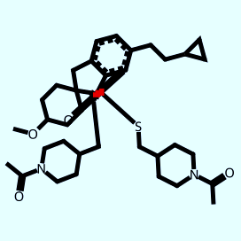 COC1CCC2(CC1)Cc1ccc(CCC3CC3)cc1C21N=C(SCC2CCN(C(C)=O)CC2)N(CC2CCN(C(C)=O)CC2)C1=O